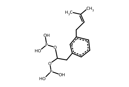 CC(C)=CCc1cccc(CC(OP(O)O)OP(O)O)c1